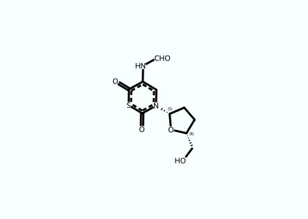 O=CNc1cn([C@@H]2CC[C@H](CO)O2)c(=O)sc1=O